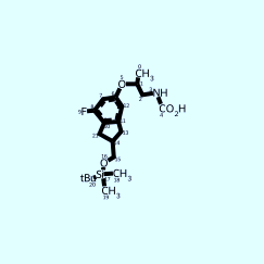 CC(CNC(=O)O)Oc1cc(F)c2c(c1)CC(CO[Si](C)(C)C(C)(C)C)C2